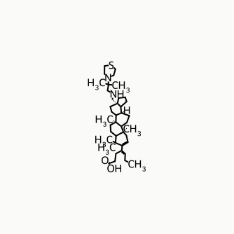 CC/C=C(\CCC(=O)O)C1=CC[C@@]2(C)C(CC[C@@]3(C)C4CC[C@@]5(CNCC(C)(C)N6CCSCC6)CCCC5[C@H]4CCC32)C1(C)C